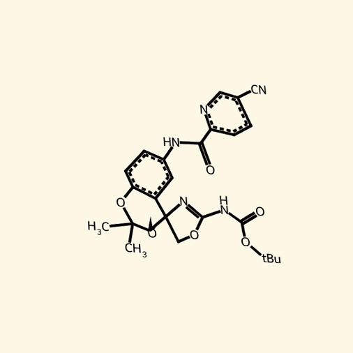 CC(C)(C)OC(=O)NC1=NC2(CO1)c1cc(NC(=O)c3ccc(C#N)cn3)ccc1OC(C)(C)C21COC1